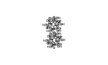 O=P(O)(O)OC1C(OP(=O)(O)O)C(OP(=O)(O)O)C(OP(=O)(O)O)C(OP(=O)(O)O)C1OP(=O)(O)O.O=P(O)(O)O[C@H]1[C@H](OP(=O)(O)O)[C@@H](OP(=O)(O)O)[C@H](OP(=O)(O)O)[C@@H](OP(=O)(O)O)[C@H]1OP(=O)(O)O